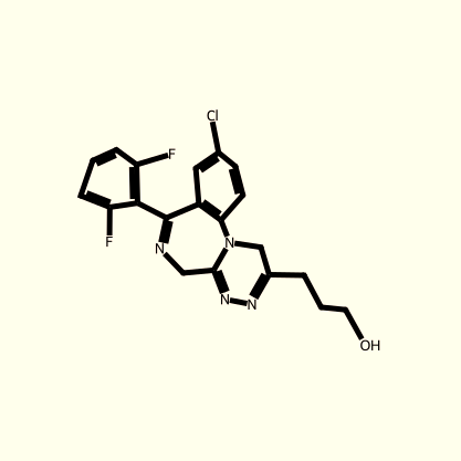 OCCCC1=NN=C2CN=C(c3c(F)cccc3F)c3cc(Cl)ccc3N2C1